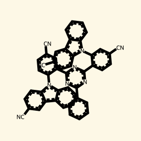 N#Cc1ccc(-n2c3ccccc3c3cc(C#N)ccc32)c(-c2nc(-c3ccccc3)nc(-c3ccc(C#N)cc3-n3c4ccccc4c4cc(C#N)ccc43)n2)c1